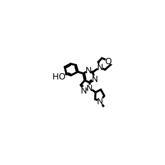 CN1CCC(n2ncc3c(-c4cccc(O)c4)nc(N4CCOCC4)nc32)C1